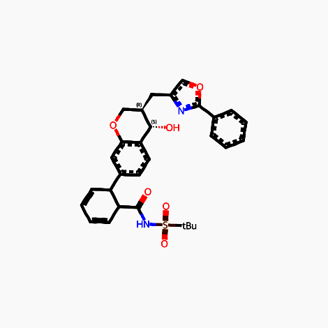 CC(C)(C)S(=O)(=O)NC(=O)C1C=CC=CC1c1ccc2c(c1)OC[C@@H](Cc1coc(-c3ccccc3)n1)[C@@H]2O